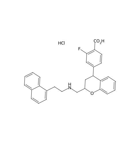 Cl.O=C(O)c1ccc(C2CC(CNCCc3cccc4ccccc34)Oc3ccccc32)cc1F